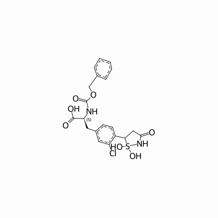 O=C1CC(c2ccc(C[C@H](NC(=O)OCc3ccccc3)C(=O)O)cc2Cl)S(O)(O)N1